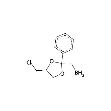 BC[C@]1(c2ccccc2)OC[C@@H](CCl)O1